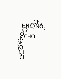 O=CC(Oc1ccc(Nc2ccc([N+](=O)[O-])c(C(F)(F)F)c2)cc1)N1CCN(Cc2cc3cc(Cl)ccc3o2)CC1